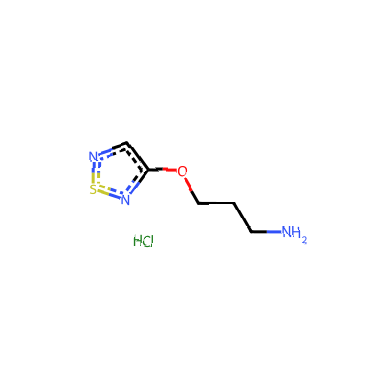 Cl.NCCCOc1cnsn1